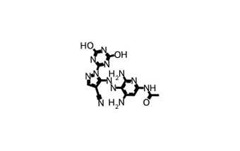 CC(=O)Nc1cc(N)c(/N=N/c2c(C#N)cnn2-c2nc(O)nc(O)n2)c(N)n1